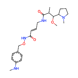 CNc1ccc(CONC(=O)/C=C/CNC(=O)C(C)C(OC)C2CCCN2C)cc1